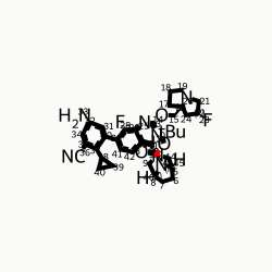 CC(C)(C)OC(=O)N1[C@@H]2CC[C@H]1CN(c1nc(OC[C@@]34CCCN3C[C@H](F)C4)nc3c(F)c(-c4cc(N)cc(C#N)c4C4CC4)ccc13)C2